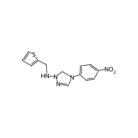 O=[N+]([O-])c1ccc(N2C=NN(NCc3cccs3)C2)cc1